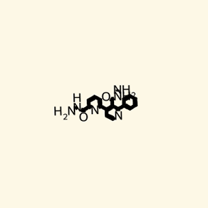 NNC(=O)c1cccc(-c2ccnc(-c3ccccc3)c2C(=O)NN)n1